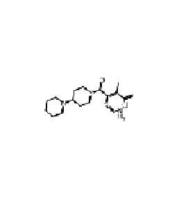 C=C(Cl)/C(C)=C(\N=C/N)C(=O)N1CCC(N2CCCCC2)CC1